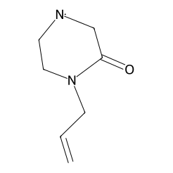 C=CCN1CC[N]CC1=O